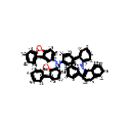 c1ccc(-n2c3ccccc3c3ccc4ccccc4c32)c(-c2ccc(N(c3ccc4oc5ccccc5c4c3)c3cccc4c3oc3ccccc34)cc2)c1